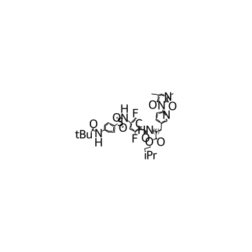 Cc1cn(C)c(=O)n(-c2ccc(C[C@H](NC(=O)c3cc(F)c(NS(=O)(=O)c4ccc(NC(=O)C(C)(C)C)cc4)cc3F)C(=O)OCCC(C)C)cn2)c1=O